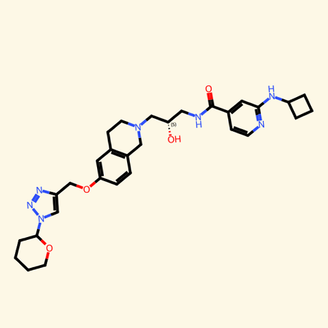 O=C(NC[C@H](O)CN1CCc2cc(OCc3cn(C4CCCCO4)nn3)ccc2C1)c1ccnc(NC2CCC2)c1